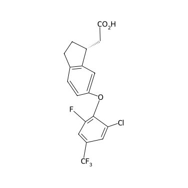 O=C(O)C[C@H]1CCc2ccc(Oc3c(F)cc(C(F)(F)F)cc3Cl)cc21